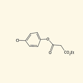 CCOC(=O)CC(=O)Oc1ccc(Cl)cc1